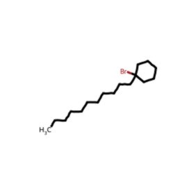 CCCCCCCCCCCC1(Br)CCCCC1